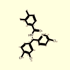 Cc1ccc(C(=O)N[C@@H](c2ccc(Cl)c(Cl)c2)c2ccc(Cl)cn2)cc1C